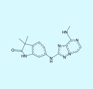 CNc1nccn2nc(Nc3ccc4c(c3)NC(=O)C4(C)C)nc12